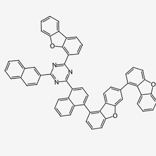 c1ccc2cc(-c3nc(-c4ccc(-c5cccc6oc7cc(-c8cccc9oc%10ccccc%10c89)ccc7c56)c5ccccc45)nc(-c4cccc5c4oc4ccccc45)n3)ccc2c1